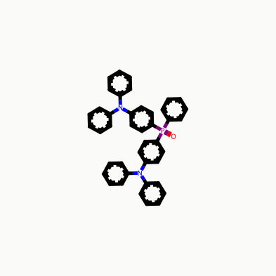 O=P(c1ccccc1)(c1ccc(N(c2ccccc2)c2ccccc2)cc1)c1ccc(N(c2ccccc2)c2ccccc2)cc1